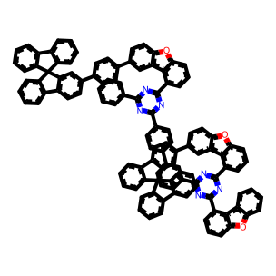 c1ccc(-c2nc(-c3ccc(-c4cccc(-c5nc(-c6cccc7oc8ccccc8c67)nc(-c6cccc7oc8ccc(-c9ccc%10c(c9)C9(c%11ccccc%11-c%11ccccc%119)c9ccccc9-%10)cc8c67)n5)c4)cc3)nc(-c3cccc4oc5ccc(-c6ccc(-c7ccc8c(c7)C7(c9ccccc9-c9ccccc97)c7ccccc7-8)cc6)cc5c34)n2)cc1